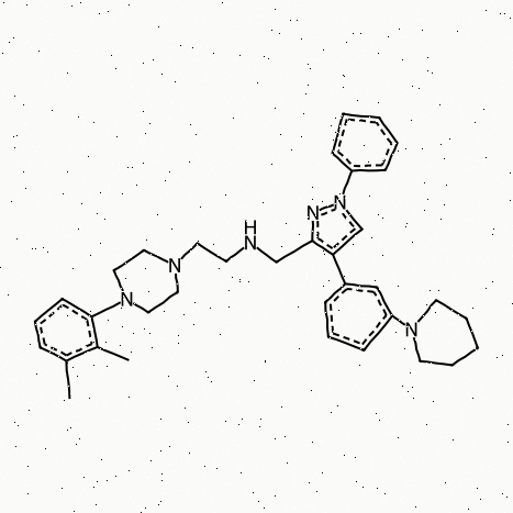 Cc1cccc(N2CCN(CCNCc3nn(-c4ccccc4)cc3-c3cccc(N4CCCCC4)c3)CC2)c1C